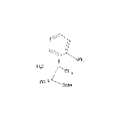 COC(=O)C(C)(C)c1ccccc1[N+](=O)[O-]